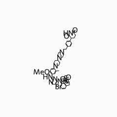 COc1cc(N2CCC(N3CCN(CCc4ccc(C5CCC(=O)NC5=O)cc4)CC3)CC2)c(C)cc1Nc1ncc(Br)c(Nc2cccc3c2N(S(C)(=O)=O)CC3)n1